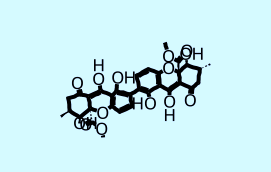 COC(=O)[C@]12Oc3ccc(-c4ccc5c(c4O)C(O)=C4C(=O)C[C@H](C)[C@H](O)[C@]4(C(=O)OC)O5)c(O)c3C(O)=C1C(=O)C[C@@H](C)[C@@H]2O